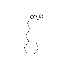 CCOC(=O)CCC[C]1CCCCC1